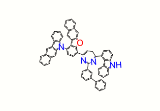 C1=C(c2ccc(-n3c4ccccc4c4cc5ccccc5cc43)c3c2oc2cc4ccccc4cc23)N=C(c2cccc(-c3ccccc3)c2)N=C(c2cccc3[nH]c4ccccc4c23)C1